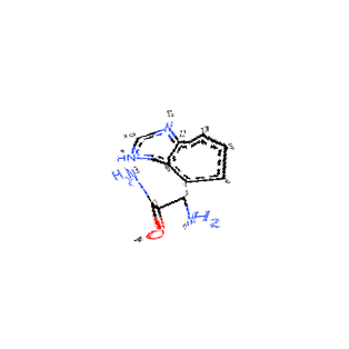 NCC(N)=O.c1ccc2[nH]cnc2c1